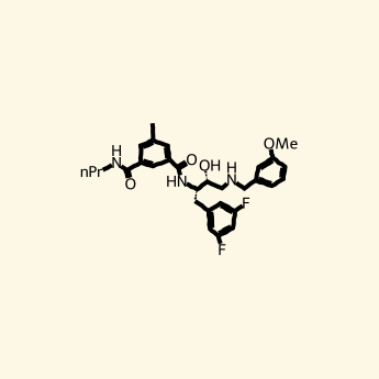 CCCNC(=O)c1cc(C)cc(C(=O)N[C@@H](Cc2cc(F)cc(F)c2)[C@H](O)CNCc2cccc(OC)c2)c1